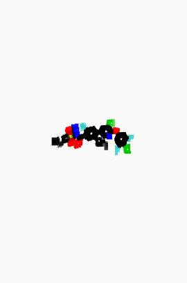 Cc1cc(C(=O)NS(C)(=O)=O)c(F)cc1-c1cnc(Oc2cc(F)c(Cl)c(F)c2)c(Cl)c1